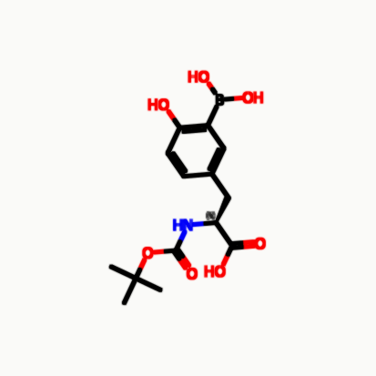 CC(C)(C)OC(=O)N[C@@H](Cc1ccc(O)c(B(O)O)c1)C(=O)O